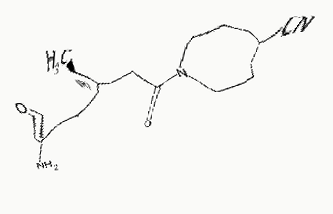 C[C@H](CC(N)=O)CC(=O)N1CCC(C#N)CC1